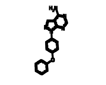 Nc1ncnc2c1cnn2-c1ccc(Oc2ccccc2)cc1